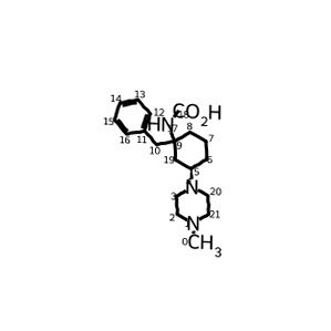 CN1CCN([C@@H]2CCCC(Cc3ccccc3)(NC(=O)O)C2)CC1